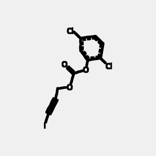 O=C(OCC#CI)Oc1cc(Cl)ccc1Cl